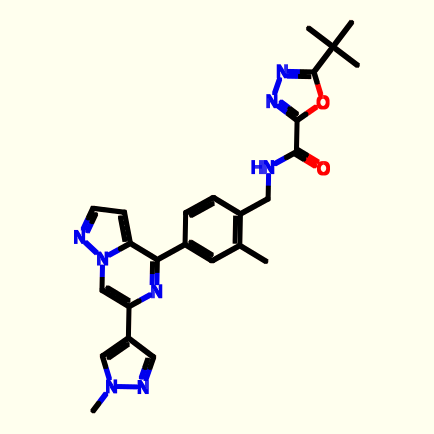 Cc1cc(-c2nc(-c3cnn(C)c3)cn3nccc23)ccc1CNC(=O)c1nnc(C(C)(C)C)o1